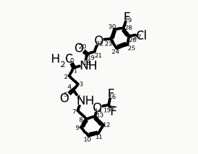 C=C(CCC(=O)NCc1ccccc1OC(F)F)NC(=O)COc1ccc(Cl)c(F)c1